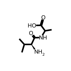 CC(NC(=O)[C@@H](N)C(C)C)C(=O)O